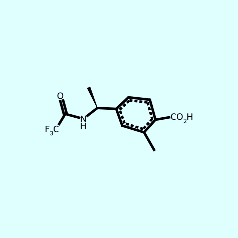 Cc1cc([C@H](C)NC(=O)C(F)(F)F)ccc1C(=O)O